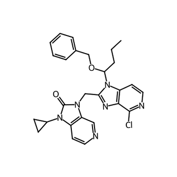 CCCC(OCc1ccccc1)n1c(Cn2c(=O)n(C3CC3)c3ccncc32)nc2c(Cl)nccc21